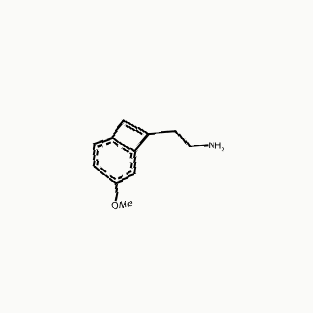 COc1ccc2c(c1)C(CCN)=C2